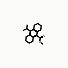 COC(=O)c1c2c(c(C(C)C)c3c1CCCC3)CCCC2